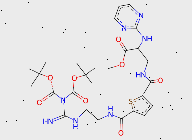 COC(=O)C(CNC(=O)c1ccc(C(=O)NCCNC(=N)N(C(=O)OC(C)(C)C)C(=O)OC(C)(C)C)s1)Nc1ncccn1